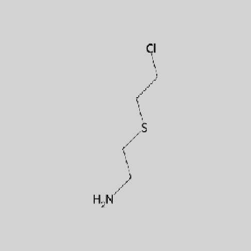 NCCSCCCl